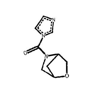 O=C(N1CC2CC1CO2)n1ccnc1